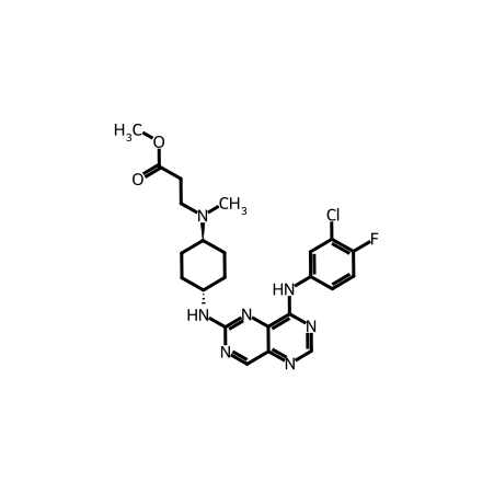 COC(=O)CCN(C)[C@H]1CC[C@H](Nc2ncc3ncnc(Nc4ccc(F)c(Cl)c4)c3n2)CC1